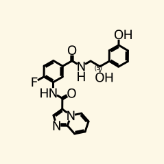 O=C(NC[C@@H](O)c1cccc(O)c1)c1ccc(F)c(NC(=O)c2cnc3ccccn23)c1